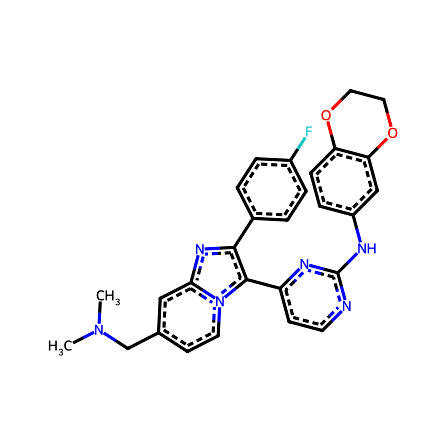 CN(C)Cc1ccn2c(-c3ccnc(Nc4ccc5c(c4)OCCO5)n3)c(-c3ccc(F)cc3)nc2c1